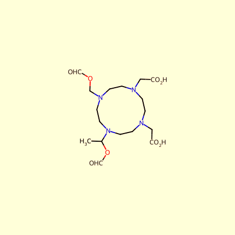 CC(OC=O)N1CCN(COC=O)CCN(CC(=O)O)CCN(CC(=O)O)CC1